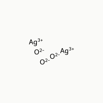 [Ag+3].[Ag+3].[O-2].[O-2].[O-2]